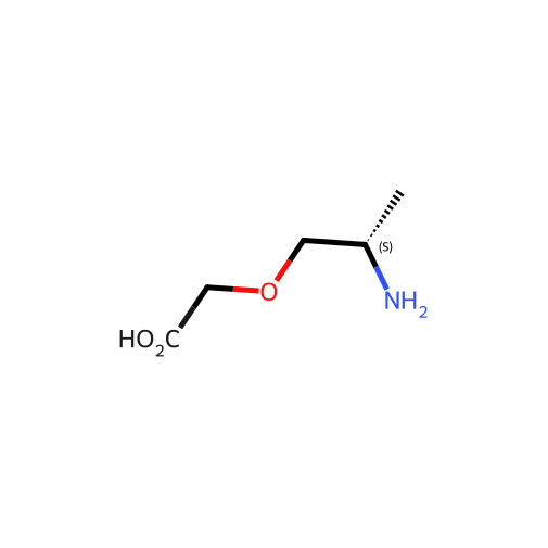 C[C@H](N)COCC(=O)O